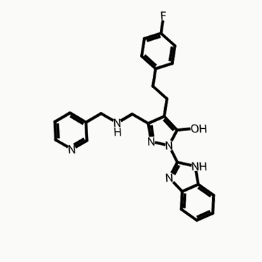 Oc1c(CCc2ccc(F)cc2)c(CNCc2cccnc2)nn1-c1nc2ccccc2[nH]1